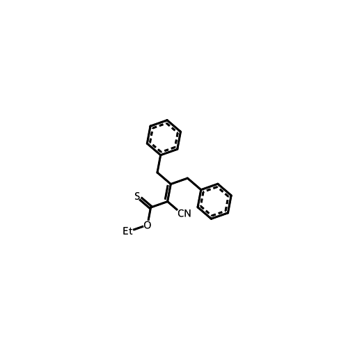 CCOC(=S)C(C#N)=C(Cc1ccccc1)Cc1ccccc1